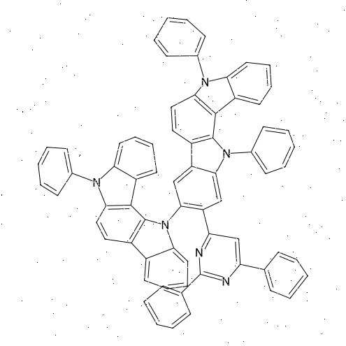 c1ccc(-c2cc(-c3cc4c(cc3-n3c5ccccc5c5ccc6c(c7ccccc7n6-c6ccccc6)c53)c3ccc5c(c6ccccc6n5-c5ccccc5)c3n4-c3ccccc3)nc(-c3ccccc3)n2)cc1